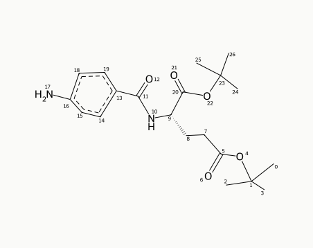 CC(C)(C)OC(=O)CC[C@H](NC(=O)c1ccc(N)cc1)C(=O)OC(C)(C)C